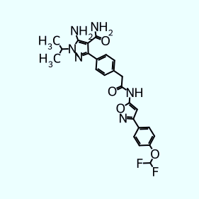 CC(C)n1nc(-c2ccc(CC(=O)Nc3cc(-c4ccc(OC(F)F)cc4)no3)cc2)c(C(N)=O)c1N